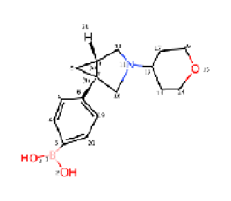 OB(O)c1ccc([C@@]23C[C@@H]2CN(C2CCOCC2)C3)cc1